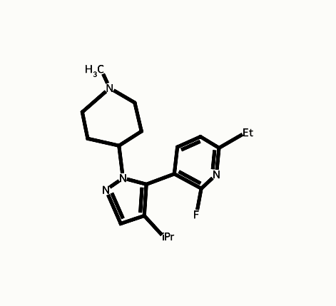 CCc1ccc(-c2c(C(C)C)cnn2C2CCN(C)CC2)c(F)n1